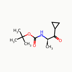 C[C@@H](NC(=O)OC(C)(C)C)C(=O)C1CC1